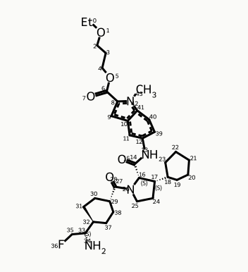 CCOCCCOC(=O)c1cc2cc(NC(=O)[C@@H]3[C@H](C4CCCCC4)CCN3C(=O)[C@H]3CC[C@H]([C@H](N)CF)CC3)ccc2n1C